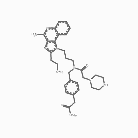 COCCc1nc2c(N)nc3ccccc3c2n1CCCN(Cc1ccc(CC(=O)OC)cc1)C(=O)CN1CCNCC1